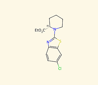 CCOC(=O)[C@@H]1CCCCN1c1nc2ccc(Cl)cc2s1